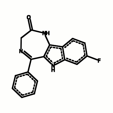 O=C1CN=C(c2ccccc2)c2[nH]c3cc(F)ccc3c2N1